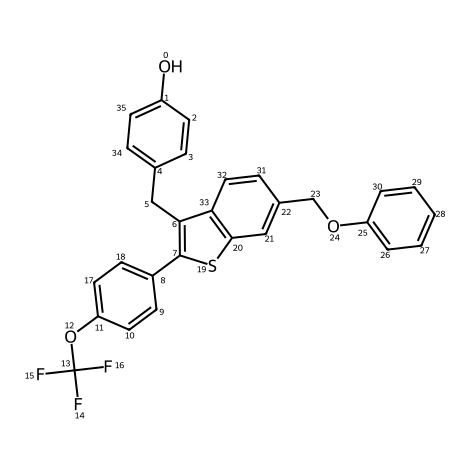 Oc1ccc(Cc2c(-c3ccc(OC(F)(F)F)cc3)sc3cc(COc4ccccc4)ccc23)cc1